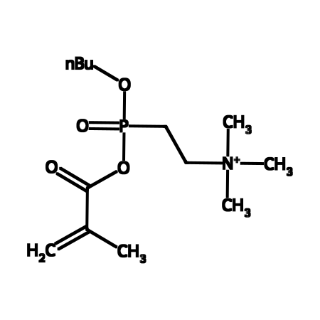 C=C(C)C(=O)OP(=O)(CC[N+](C)(C)C)OCCCC